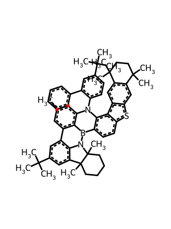 Cc1cc2c3c(c1)N(c1ccc(C(C)(C)C)cc1-c1ccccc1)c1c(ccc4sc5cc6c(cc5c14)C(C)(C)CCC6(C)C)B3N1c3c-2cc(C(C)(C)C)cc3C2(C)CCCCC12C